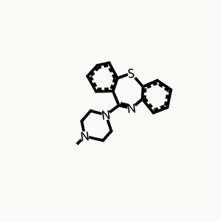 CN1CCN(C2=Nc3ccccc3Sc3ccccc32)CC1